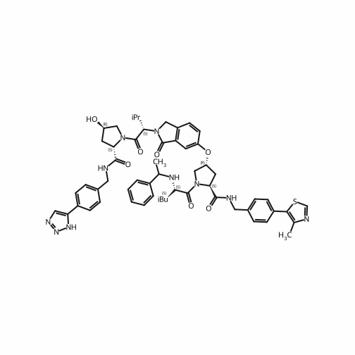 CC[C@H](C)[C@H](NC(C)c1ccccc1)C(=O)N1C[C@H](Oc2ccc3c(c2)C(=O)N([C@H](C(=O)N2C[C@H](O)C[C@H]2C(=O)NCc2ccc(-c4cnn[nH]4)cc2)C(C)C)C3)C[C@H]1C(=O)NCc1ccc(-c2scnc2C)cc1